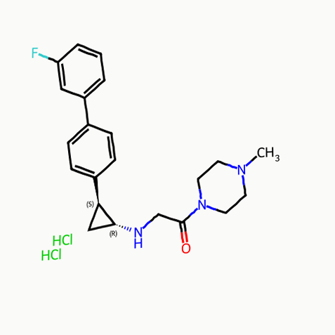 CN1CCN(C(=O)CN[C@@H]2C[C@H]2c2ccc(-c3cccc(F)c3)cc2)CC1.Cl.Cl